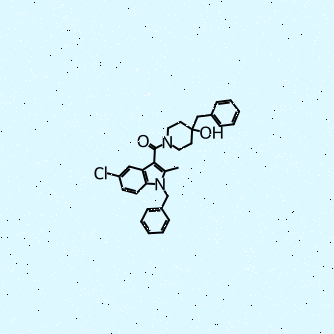 Cc1c(C(=O)N2CCC(O)(Cc3ccccc3)CC2)c2cc(Cl)ccc2n1Cc1ccccc1